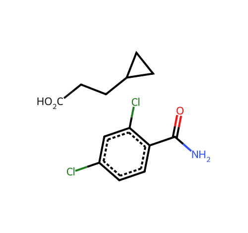 NC(=O)c1ccc(Cl)cc1Cl.O=C(O)CCC1CC1